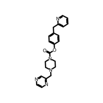 O=C(Oc1ccc(Cc2ccccn2)cc1)N1CCN(Cc2cnccn2)CC1